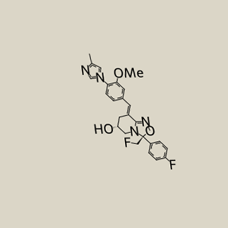 COc1cc(/C=C2\C[C@@H](O)CN3C2=NO[C@]3(CF)c2ccc(F)cc2)ccc1-n1cnc(C)c1